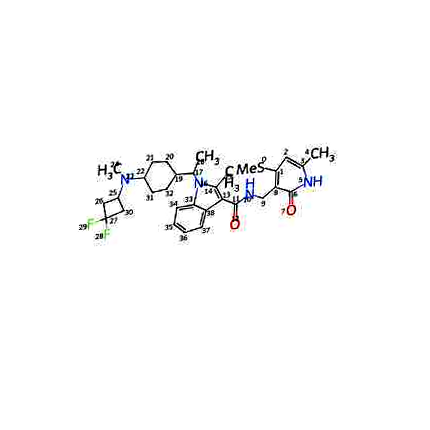 CSc1cc(C)[nH]c(=O)c1CNC(=O)c1c(C)n(C(C)C2CCC(N(C)C3CC(F)(F)C3)CC2)c2ccccc12